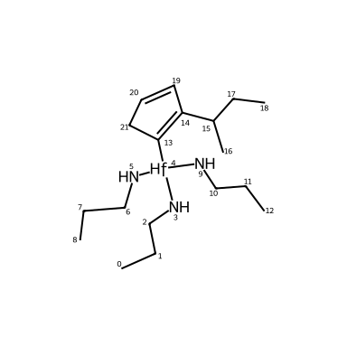 CCC[NH][Hf]([NH]CCC)([NH]CCC)[C]1=C(C(C)CC)C=CC1